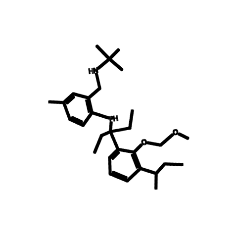 CCC(C)c1cccc(C(CC)(CC)Pc2ccc(C)cc2CNC(C)(C)C)c1OCOC